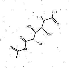 CC(=O)NC(=O)[C@@H](O)[C@@H](O)[C@H](O)[C@H](O)C(=O)O